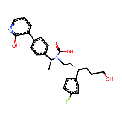 C[C@@H](c1ccc(-c2cccnc2O)cc1)N(CC[C@H](CCCO)c1ccc(F)cc1)C(=O)O